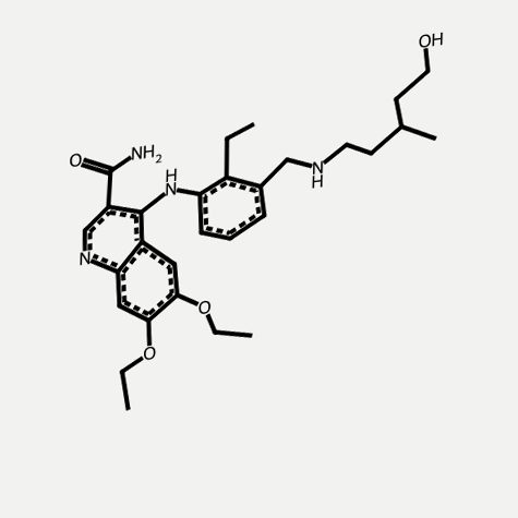 CCOc1cc2ncc(C(N)=O)c(Nc3cccc(CNCCC(C)CCO)c3CC)c2cc1OCC